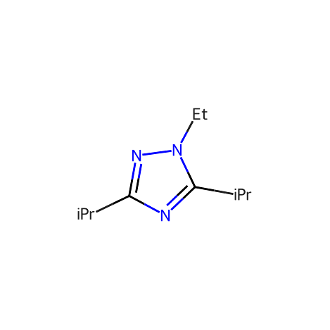 CCn1nc(C(C)C)nc1C(C)C